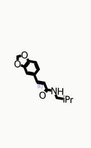 CC(C)CNC(=O)/C=C/c1ccc2c(c1)OCO2